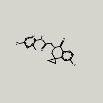 O=C(CN1CC2(CC2)c2cc(Br)ccc2C1=O)Nc1ncc(Cl)cc1F